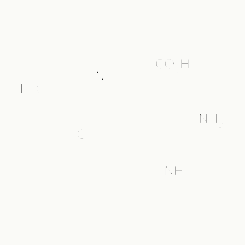 C=C(Cl)/N=C(/C(=O)O)c1cc[nH]c1N